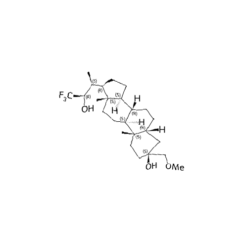 COC[C@]1(O)CC[C@@]2(C)[C@H](CC[C@@H]3[C@@H]2CC[C@]2(C)[C@@H]([C@H](C)[C@@H](O)C(F)(F)F)CC[C@@H]32)C1